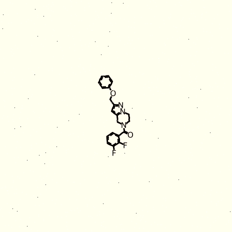 O=C(c1cccc(F)c1F)N1CCn2nc(COc3ccccc3)cc2C1